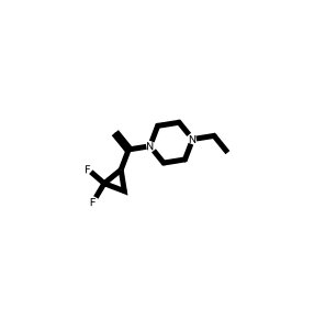 C=C(C1CC1(F)F)N1CCN(CC)CC1